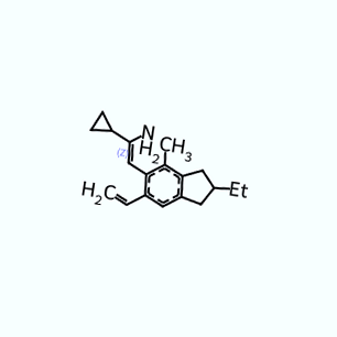 C=Cc1cc2c(c(C)c1/C=C(\N)C1CC1)CC(CC)C2